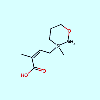 CC(=CC[Si]1(C)CCCO[SiH2]1)C(=O)O